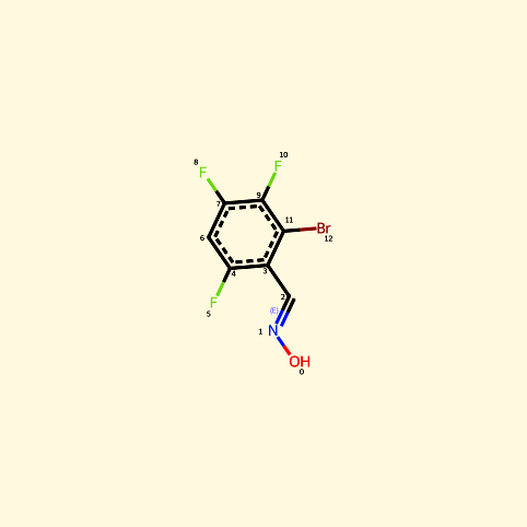 O/N=C/c1c(F)cc(F)c(F)c1Br